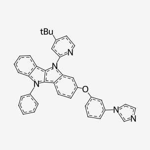 CC(C)(C)c1ccnc(-n2c3cc(Oc4cccc(-n5ccnc5)c4)ccc3c3c2c2ccccc2n3-c2ccccc2)c1